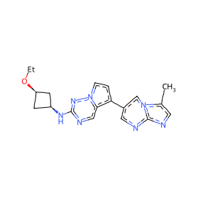 CCO[C@H]1C[C@@H](Nc2ncc3c(-c4cnc5ncc(C)n5c4)ccn3n2)C1